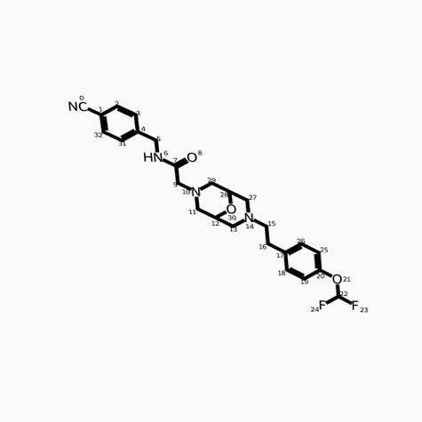 N#Cc1ccc(CNC(=O)CN2CC3CN(CCc4ccc(OC(F)F)cc4)CC(C2)O3)cc1